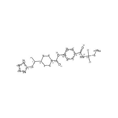 CC(Sc1nnn[nH]1)C1CCN(C(=O)Oc2ccc(C(=O)NC(C)(C)CC(C)(C)C)cc2)CC1